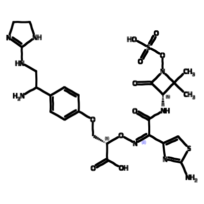 CC1(C)[C@H](NC(=O)/C(=N\O[C@@H](COc2ccc(C(N)CNC3=NCCN3)cc2)C(=O)O)c2csc(N)n2)C(=O)N1OS(=O)(=O)O